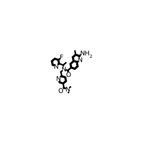 Cc1cc2cc(C(=O)N(Cc3ccc(C(=O)N(C)C)cn3)C(C)c3ncccc3F)ccc2nc1N